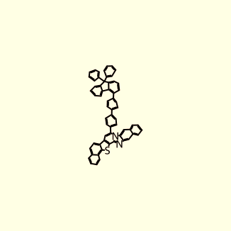 c1ccc(C2(c3ccccc3)c3ccccc3-c3c(-c4ccc(-c5ccc(-c6cc7c8ccc9ccccc9c8sc7c7nc8cc9ccccc9cc8n67)cc5)cc4)cccc32)cc1